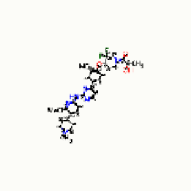 COc1nc(Nc2nccc(-c3ccc(OC4CCN(C(=O)[C@@H](C)O)CC4(F)F)c(C#N)c3)n2)ccc1C1CCN(C)CC1